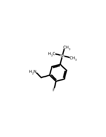 [CH3][Sn]([CH3])([CH3])[c]1ccc(F)c(CN)c1